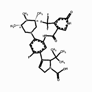 C[C@@H]1CN(c2cc(F)c(C3=CCN(C(=O)O)C3C(C)(C)C)cc2NC(=O)c2c[nH]c(=O)cc2C(F)(F)F)C[C@H](C)N1C